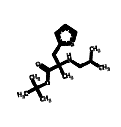 CC(C)CNC(C)(Cc1cccs1)C(=O)OC(C)(C)C